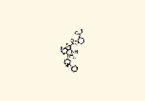 C=CC(=O)N1CCC[C@@H](NC(=O)c2sc3nccc4c3c2NC(=O)N4c2ccnc(-c3ccccc3)c2)C1